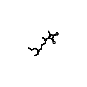 CCCN(CC)CCCN(C)c1c(C)c(=O)c1=O